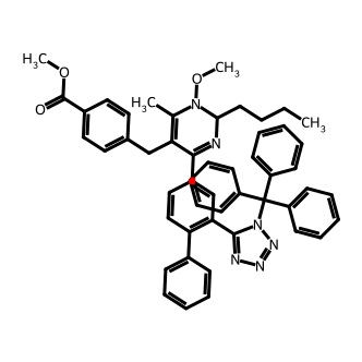 CCCCC1N=C(c2ccc(-c3ccccc3)c(-c3nnnn3C(c3ccccc3)(c3ccccc3)c3ccccc3)c2)C(Cc2ccc(C(=O)OC)cc2)=C(C)N1OC